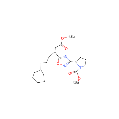 CC(C)(C)OC(=O)C[C@@H](CCCC1CCCCC1)c1nc([C@@H]2CCCN2C(=O)OC(C)(C)C)no1